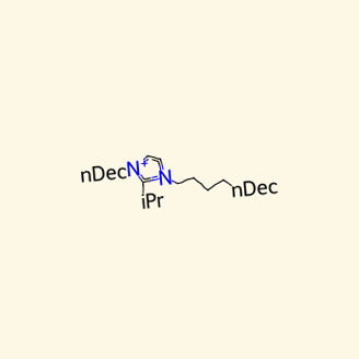 CCCCCCCCCCCCCCn1cc[n+](CCCCCCCCCC)c1C(C)C